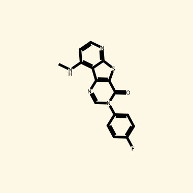 CNc1ccnc2sc3c(=O)n(-c4ccc(F)cc4)cnc3c12